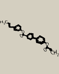 C=CC(=O)Oc1ccc(-c2ccc(C(=O)Oc3ccc(CCC)cc3)cc2)cc1